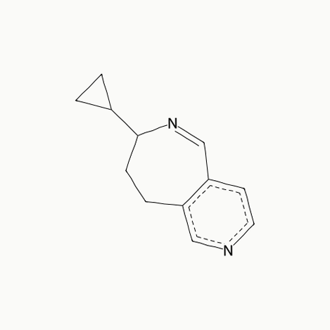 C1=NC(C2CC2)CCc2cnccc21